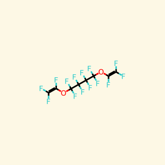 FC(F)=C(F)OC(F)(F)C(F)(F)C(F)(F)C(F)(F)OC(F)=C(F)F